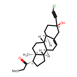 CSCC(=O)[C@H]1CC[C@H]2[C@@H]3CC=C4C[C@@](O)(C#CCl)CC[C@@H]4[C@H]3CC[C@]12C